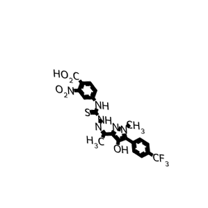 CC(=NNC(=S)Nc1ccc(C(=O)O)c([N+](=O)[O-])c1)c1nn(C)c(-c2ccc(C(F)(F)F)cc2)c1O